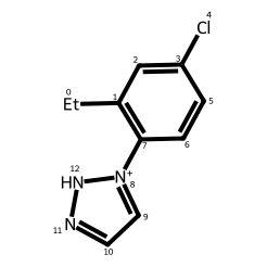 CCc1cc(Cl)ccc1-[n+]1ccn[nH]1